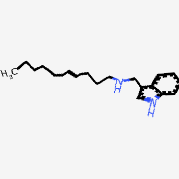 CCCCCCCCCCNCc1c[nH]c2ccccc12